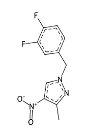 Cc1nn(Cc2ccc(F)c(F)c2)cc1[N+](=O)[O-]